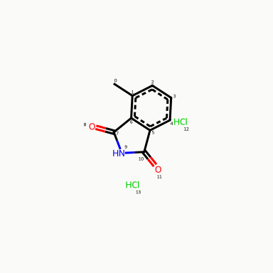 Cc1cccc2c1C(=O)NC2=O.Cl.Cl